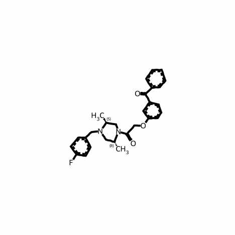 C[C@@H]1CN(Cc2ccc(F)cc2)[C@@H](C)CN1C(=O)COc1cccc(C(=O)c2ccccc2)c1